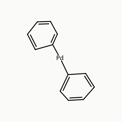 c1cc[c]([Pd][c]2ccccc2)cc1